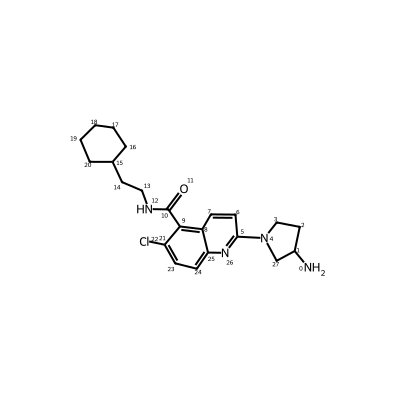 NC1CCN(c2ccc3c(C(=O)NCCC4CCCCC4)c(Cl)ccc3n2)C1